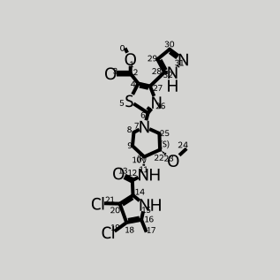 COC(=O)c1sc(N2CC[C@@H](NC(=O)c3[nH]c(C)c(Cl)c3Cl)[C@@H](OC)C2)nc1-c1ccn[nH]1